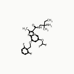 CCC(C)(N)CNC(=O)c1c(C)nc2c(OCc3c(F)cccc3F)cc(OC(F)F)cn12